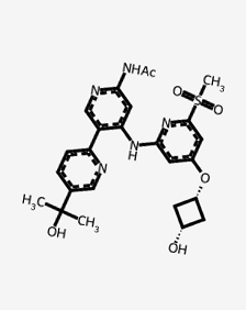 CC(=O)Nc1cc(Nc2cc(O[C@H]3C[C@@H](O)C3)cc(S(C)(=O)=O)n2)c(-c2ccc(C(C)(C)O)cn2)cn1